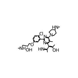 CNC[C@@H](O)COc1ccc(Cl)c(-c2nc(/C(C(C)=N)=C(\C)O)c(C)c(N3CCC(NC)CC3)n2)c1